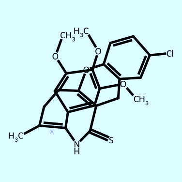 COc1cc(/C2=C(/C)CCC3=C(Cc4cc(Cl)ccc4O3)C(=S)N2)cc(OC)c1OC